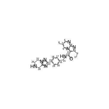 CCc1nc2ncc(C)cn2c1C(=O)NCc1ccc(-c2nc3n(n2)CCNC3)cc1